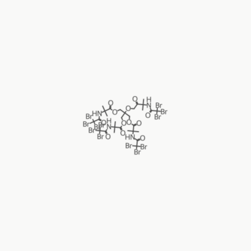 CC(C)(NC(=O)C(Br)(Br)Br)C(=O)COC(COC(=O)C(C)(C)NC(=O)C(Br)(Br)Br)(COC(=O)C(C)(C)NC(=O)C(Br)(Br)Br)COC(=O)C(C)(C)NC(=O)C(Br)(Br)Br